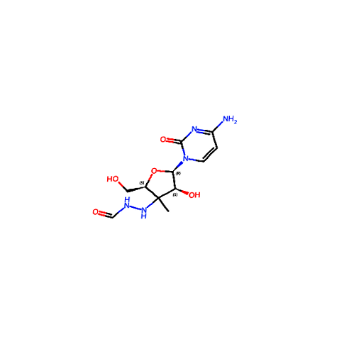 CC1(NNC=O)[C@H](O)[C@H](n2ccc(N)nc2=O)O[C@@H]1CO